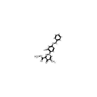 COC(=O)c1nn(-c2ccc(OCc3ccccc3)cc2F)cc(C)c1=O